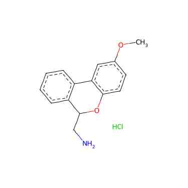 COc1ccc2c(c1)-c1ccccc1C(CN)O2.Cl